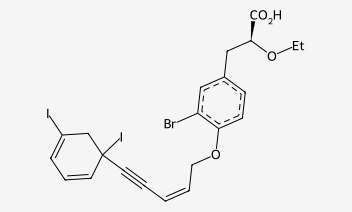 CCO[C@@H](Cc1ccc(OC/C=C\C#CC2(I)C=CC=C(I)C2)c(Br)c1)C(=O)O